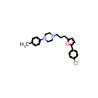 Cc1ccc(N2CCN(CCCc3ccc(-c4ccc(Cl)cc4)o3)CC2)cc1